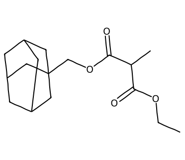 CCOC(=O)C(C)C(=O)OCC12CC3CC(CC(C3)C1)C2